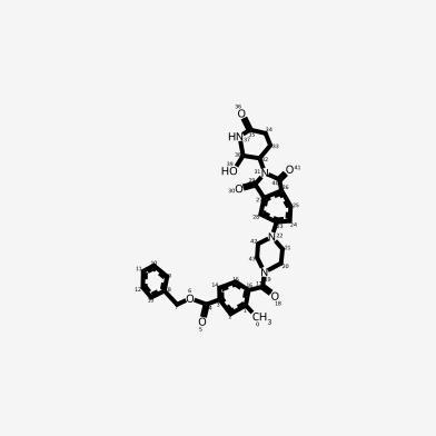 Cc1cc(C(=O)OCc2ccccc2)ccc1C(=O)N1CCN(c2ccc3c(c2)C(=O)N(C2CCC(=O)NC2O)C3=O)CC1